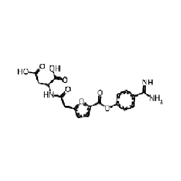 N=C(N)c1ccc(OC(=O)c2ccc(CC(=O)NC(CC(=O)O)C(=O)O)o2)cc1